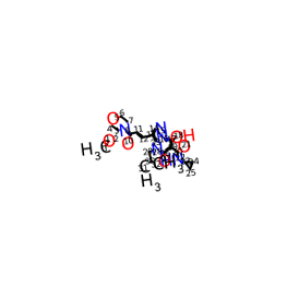 COC[C@@H]1COCCN1C(=O)/C=C/c1cnn2c(O)c(C(=O)NC3CC3)c(=O)n(CC(C)C)c12